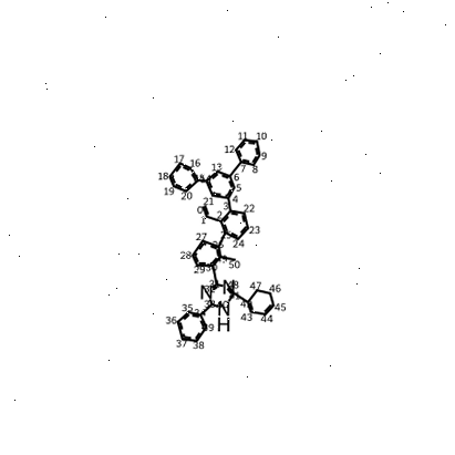 C=Cc1c(-c2cc(-c3ccccc3)cc(-c3ccccc3)c2)cccc1-c1cccc(C2=NC(c3ccccc3)NC(C3=CC=CCC3)=N2)c1C